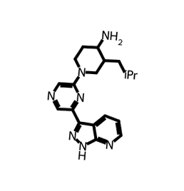 CC(C)CC1CN(c2cncc(-c3n[nH]c4ncccc34)n2)CCC1N